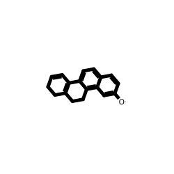 [O]c1ccc2ccc3c(c2c1)CCC1=C3C=CCC1